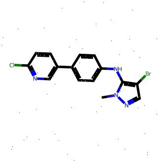 Cn1ncc(Br)c1Nc1ccc(-c2ccc(Cl)nc2)cc1